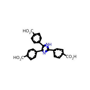 O=C(O)c1ccc(-c2nc(-c3ccc(C(=O)O)cc3)c(-c3ccc(C(=O)O)cc3)[nH]2)cc1